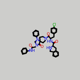 O=C(CN1CN(c2ccccc2)C2(CCN(C(=O)C(Cc3ccc(Cl)cc3)NC(=O)C3Cc4ccccc4CN3)CC2)C1=O)Nc1ccccc1